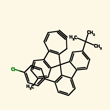 Cc1ccc2c(c1)C1(C3=C2C=CC#CC3)c2cc(C(C)(C)C)ccc2-c2cccc(-c3ccc(Cl)cc3)c21